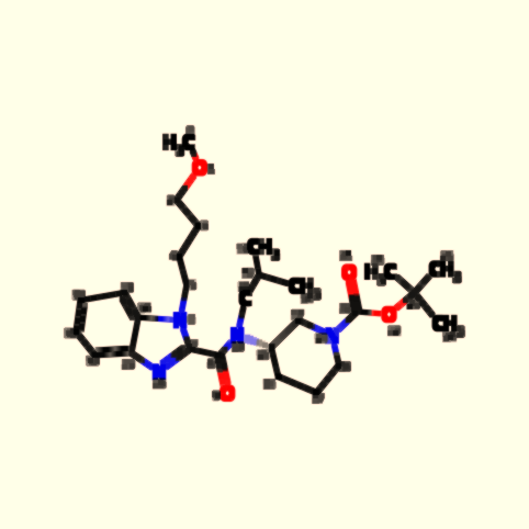 COCCCCn1c(C(=O)N(CC(C)C)[C@H]2CCCN(C(=O)OC(C)(C)C)C2)nc2ccccc21